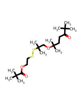 CC(C)(CCC(=O)C(C)(C)C)OCC(C)(C)SSCCOC(=O)C(C)(C)C